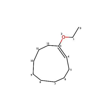 CCO/C1=C/CCCCCCCC1